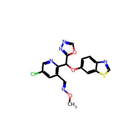 CO/N=C/c1cc(Cl)cnc1C(Oc1ccc2ncsc2c1)c1nnco1